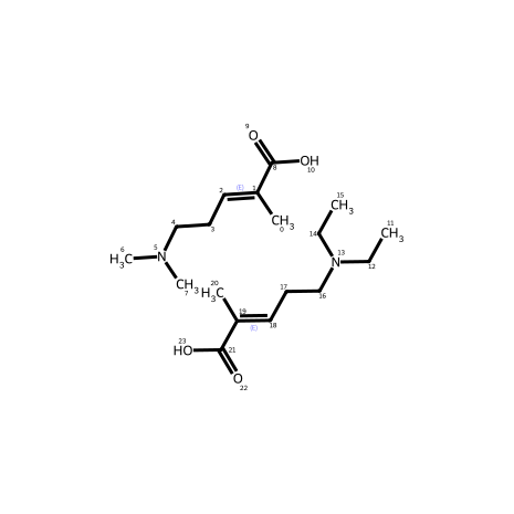 C/C(=C\CCN(C)C)C(=O)O.CCN(CC)CC/C=C(\C)C(=O)O